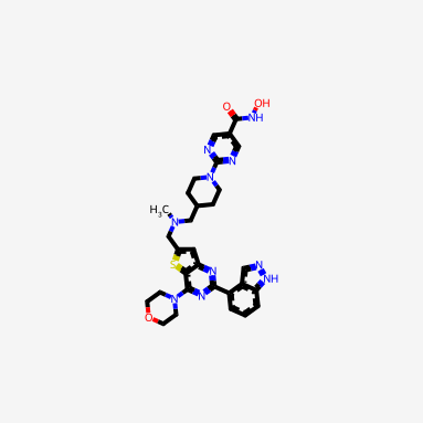 CN(Cc1cc2nc(-c3cccc4[nH]ncc34)nc(N3CCOCC3)c2s1)CC1CCN(c2ncc(C(=O)NO)cn2)CC1